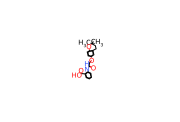 CC1(C)CCc2cc(OCC(=O)Nc3ccccc3C(=O)O)ccc2O1